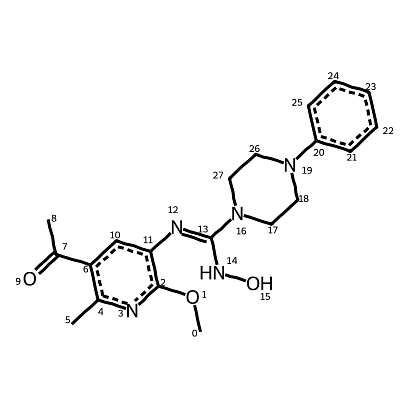 COc1nc(C)c(C(C)=O)cc1N=C(NO)N1CCN(c2ccccc2)CC1